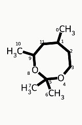 CC1CCOC(C)(C)OC(C)C1